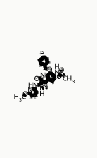 CCS(=O)(=O)Nc1ccc(-c2n[nH]c(Nc3cccc(OC)n3)c2C(N)=O)cc1OCc1ccc(F)cc1